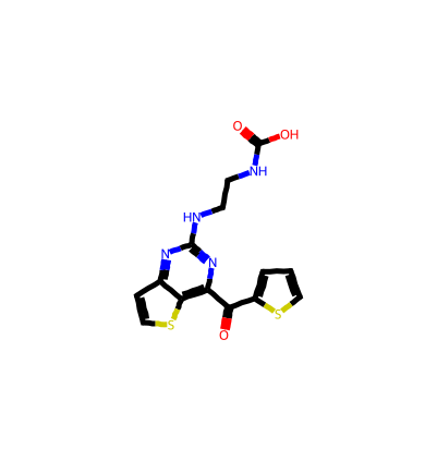 O=C(O)NCCNc1nc(C(=O)c2cccs2)c2sccc2n1